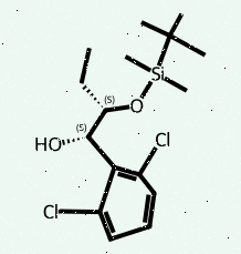 CC[C@H](O[Si](C)(C)C(C)(C)C)[C@@H](O)c1c(Cl)cccc1Cl